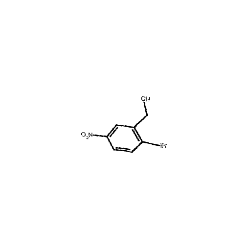 CC(C)c1ccc([N+](=O)[O-])cc1CO